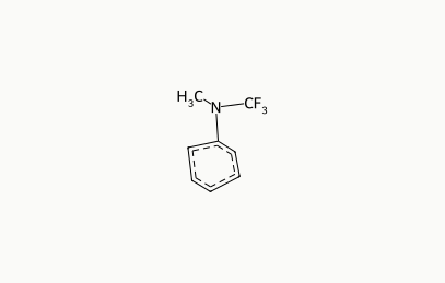 CN(c1ccccc1)C(F)(F)F